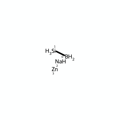 B[SiH3].[NaH].[Zn]